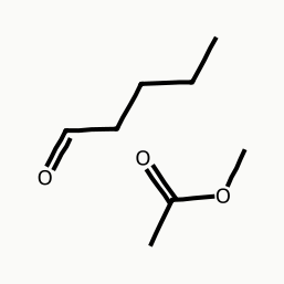 CCCCC=O.COC(C)=O